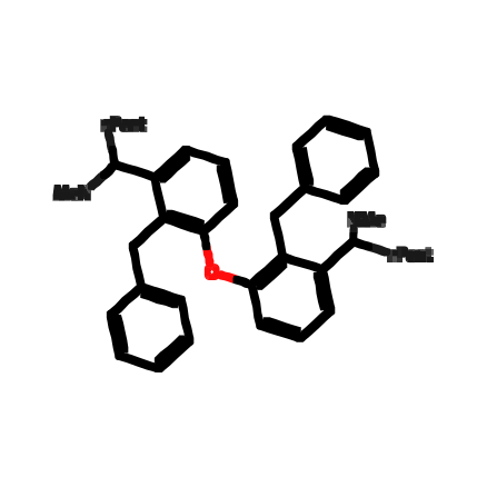 CCCCCC(NC)c1cccc(Oc2cccc(C(CCCCC)NC)c2Cc2ccccc2)c1Cc1ccccc1